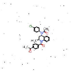 CC(=O)c1ccc(C(=O)N2c3ccccc3C(N(C(C)=O)c3ccc(Cl)cc3)CC2C)cc1